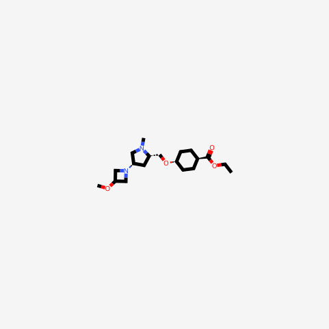 CCOC(=O)[C@H]1CC[C@H](OC[C@@H]2C[C@H](N3CC(OC)C3)CN2C)CC1